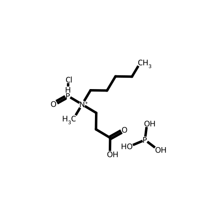 CCCCC[N+](C)(CCC(=O)O)[PH](=O)Cl.OP(O)O